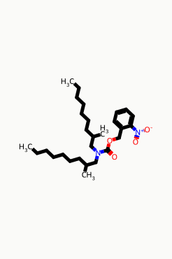 CCCCCCCC(C)CN(CC(C)CCCCCCC)C(=O)OCc1ccccc1[N+](=O)[O-]